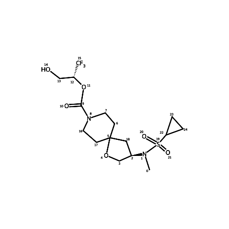 CN([C@H]1COC2(CCN(C(=O)O[C@H](CO)C(F)(F)F)CC2)C1)S(=O)(=O)C1CC1